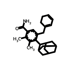 Cc1c(C(N)=O)cc(CC2=CC=CCC2)c(C2C3CC4CC(C3)CC2C4)c1C